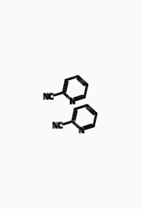 N#Cc1ccccn1.N#Cc1ccccn1